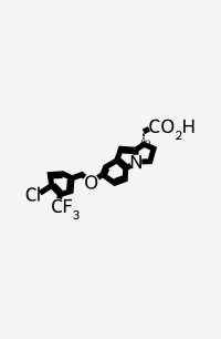 O=C(O)C[C@@H]1CCn2c1cc1cc(OCc3ccc(Cl)c(C(F)(F)F)c3)ccc12